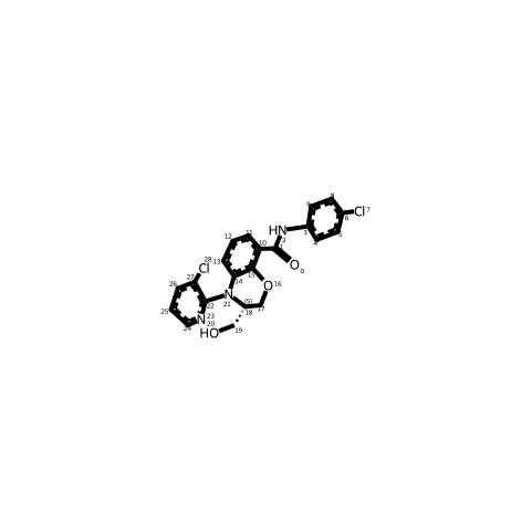 O=C(Nc1ccc(Cl)cc1)c1cccc2c1OC[C@H](CO)N2c1ncccc1Cl